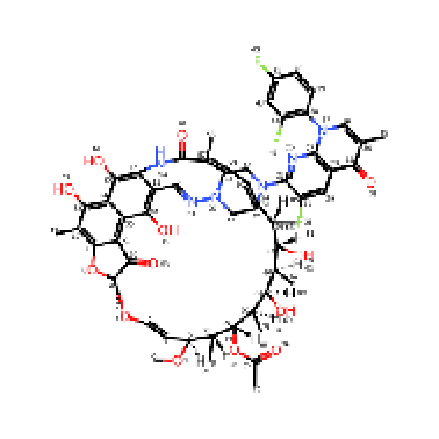 CO[C@H]1/C=C/O[C@@]2(C)Oc3c(C)c(O)c4c(O)c(c(/C=N/N5CCN(c6nc7c(cc6F)c(=O)c(C)cn7-c6ccc(F)cc6F)CC5)c(O)c4c3C2=O)NC(=O)/C(C)=C\C=C\[C@H](C)[C@H](O)[C@@H](C)[C@@H](O)[C@@H](C)[C@H](OC(C)=O)[C@@H]1C